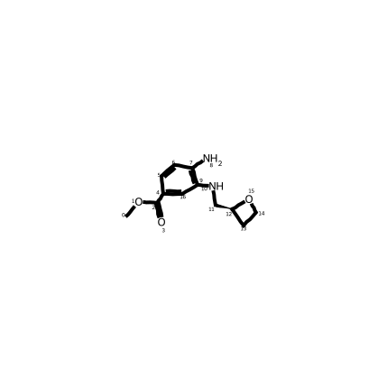 COC(=O)c1ccc(N)c(NC[C@@H]2CCO2)c1